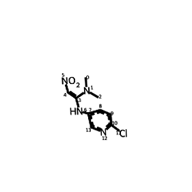 CN(C)/C(=C\[N+](=O)[O-])Nc1ccc(Cl)nc1